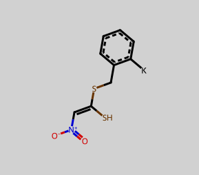 O=[N+]([O-])C=C(S)SCc1cccc[c]1[K]